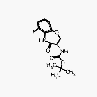 CC(C)(C)OC(=O)N[C@H]1COc2cccc(I)c2NC1=O